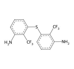 Nc1cccc(Sc2cccc(N)c2C(F)(F)F)c1C(F)(F)F